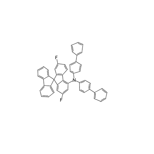 Fc1ccc2c(c1)C1(c3ccccc3-c3ccccc31)c1cc(F)cc(N(c3ccc(-c4ccccc4)cc3)c3ccc(-c4ccccc4)cc3)c1-2